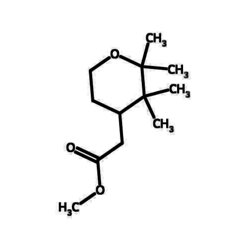 COC(=O)CC1CCOC(C)(C)C1(C)C